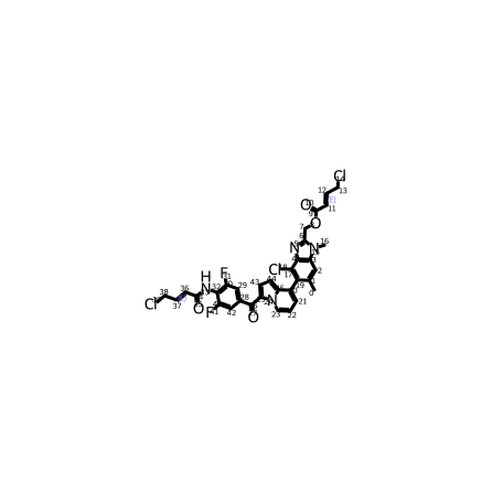 Cc1cc2c(nc(COC(=O)/C=C/CCl)n2C)c(Cl)c1-c1cccn2c(C(=O)c3cc(F)c(NC(=O)/C=C/CCl)c(F)c3)ccc12